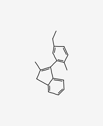 CCc1ccc(C)c(C2=C(C)Cc3ccccc32)c1